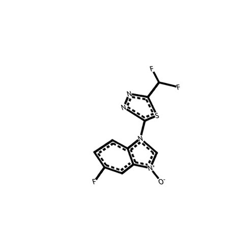 [O-][n+]1cn(-c2nnc(C(F)F)s2)c2ccc(F)cc21